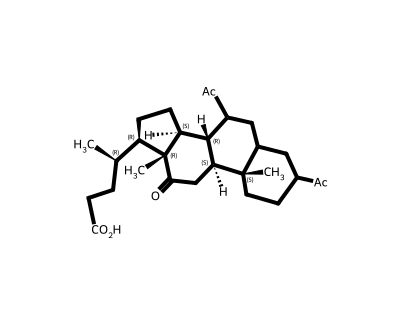 CC(=O)C1CC[C@@]2(C)C(C1)CC(C(C)=O)[C@H]1[C@@H]3CC[C@H]([C@H](C)CCC(=O)O)[C@@]3(C)C(=O)C[C@@H]12